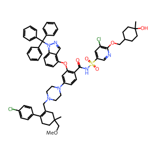 COCC1(C)CCC(c2ccc(Cl)cc2)=C(CN2CCN(c3ccc(C(=O)NS(=O)(=O)c4cnc(OCC5CCC(C)(O)CC5)c(Cl)c4)c(Oc4cccc5c4cnn5C(c4ccccc4)(c4ccccc4)c4ccccc4)c3)CC2)C1